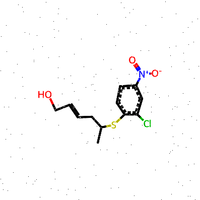 CC(CC=CCO)Sc1ccc([N+](=O)[O-])cc1Cl